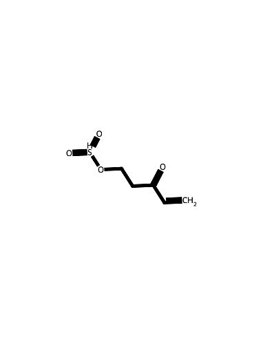 C=CC(=O)CCO[SH](=O)=O